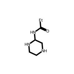 CCC(=O)NC1CNCCN1